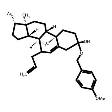 C=CCC1C=C2CC(O)(OCc3ccc(OC)cc3)CC[C@]2(C)[C@H]2CC[C@]3(C)[C@@H](C(C)=O)CC[C@H]3[C@H]12